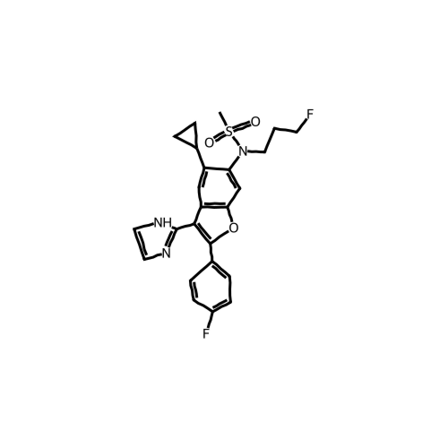 CS(=O)(=O)N(CCCF)c1cc2oc(-c3ccc(F)cc3)c(-c3ncc[nH]3)c2cc1C1CC1